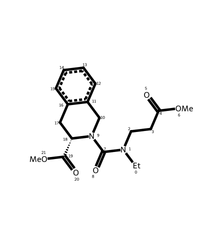 CCN(CCC(=O)OC)C(=O)N1Cc2ccccc2C[C@H]1C(=O)OC